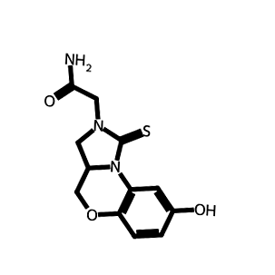 NC(=O)CN1CC2COc3ccc(O)cc3N2C1=S